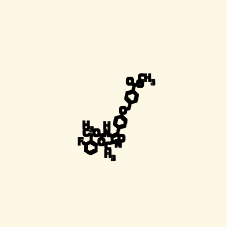 COC(=O)c1ccc(COc2ccc(-c3onc(C)c3NC(=O)O[C@H](C)c3ccccc3F)cc2)cc1